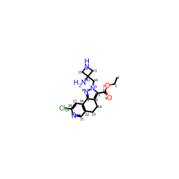 CCOC(=O)c1c2c(nn1CC1(N)CNC1)-c1cc(Cl)ncc1CC2